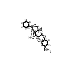 Nc1ccc(O[C@@H]2O[C@@H]3COC(c4ccccc4)O[C@H]3[C@H](O)[C@H]2O)cc1